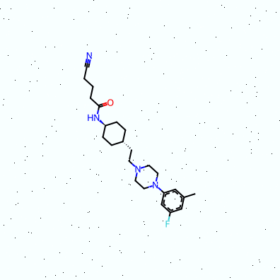 Cc1cc(F)cc(N2CCN(CC[C@H]3CC[C@H](NC(=O)CCCC#N)CC3)CC2)c1